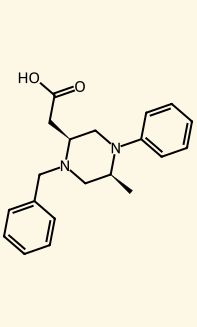 C[C@H]1CN(Cc2ccccc2)[C@@H](CC(=O)O)CN1c1ccccc1